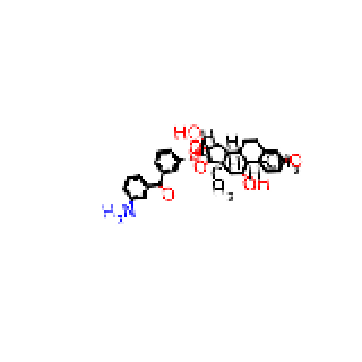 C[C@]12C=CC(=O)C=C1CC[C@@H]1[C@@H]2[C@@H](O)C[C@@]2(C)[C@H]1C[C@H]1O[C@@H](c3cccc(C(=O)c4cccc(N)c4)c3)O[C@]12C(=O)CO